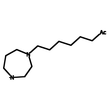 CC(=O)CCCCCCN1CCC[N]CC1